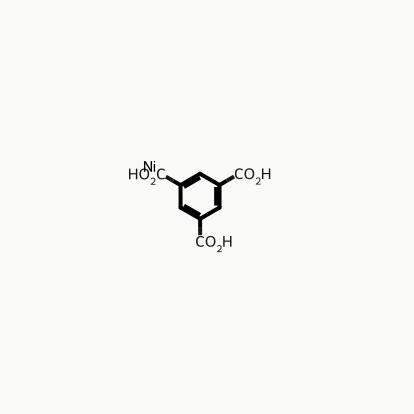 O=C(O)c1cc(C(=O)O)cc(C(=O)O)c1.[Ni]